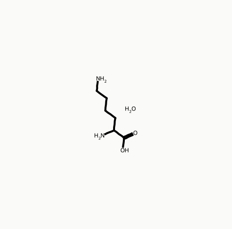 NCCCCC(N)C(=O)O.O